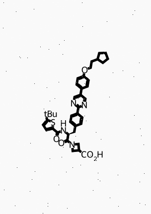 CC(C)(C)c1ccc(C(=O)N[C@@H](Cc2ccc(-c3ncc(-c4ccc(OCCC5CCCC5)cc4)cn3)cc2)C(=O)N2CC(C(=O)O)C2)s1